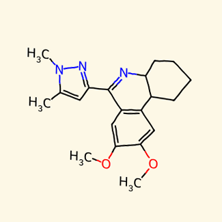 COc1cc2c(cc1OC)C1CCCCC1N=C2c1cc(C)n(C)n1